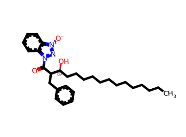 CCCCCCCCCCCCC[C@H](O)C(Cc1ccccc1)C(=O)n1n[n+]([O-])c2ccccc21